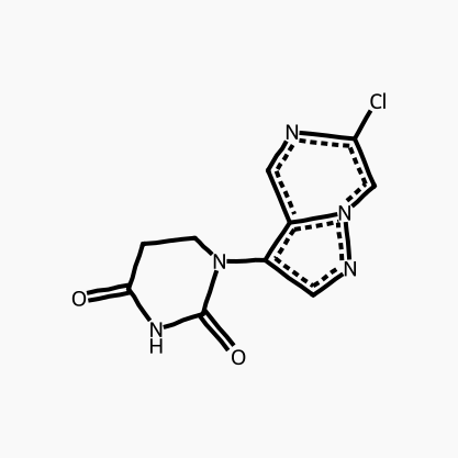 O=C1CCN(c2cnn3cc(Cl)ncc23)C(=O)N1